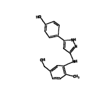 Cc1ccc(CO)cc1Nc1cc(-c2ccc(O)cc2)[nH]n1